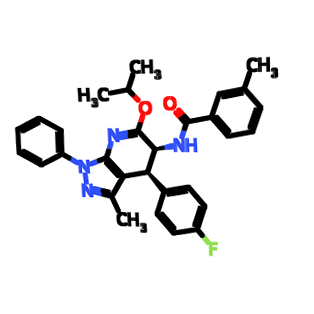 Cc1cccc(C(=O)N[C@@H]2C(OC(C)C)=Nc3c(c(C)nn3-c3ccccc3)[C@@H]2c2ccc(F)cc2)c1